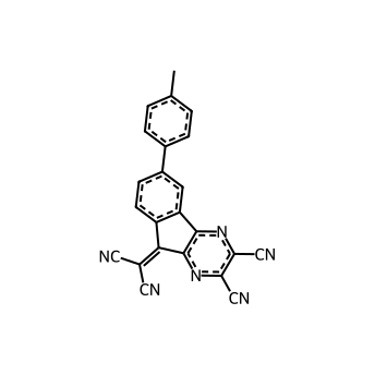 Cc1ccc(-c2ccc3c(c2)-c2nc(C#N)c(C#N)nc2C3=C(C#N)C#N)cc1